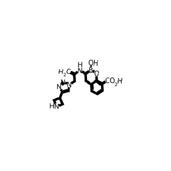 C=C(Cn1cc(C2CNC2)nn1)NC1Cc2cccc(C(=O)O)c2OB1O